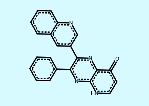 O=c1cc[nH]c2nc(-c3ccccc3)c(-c3cnc4ccccc4c3)nc12